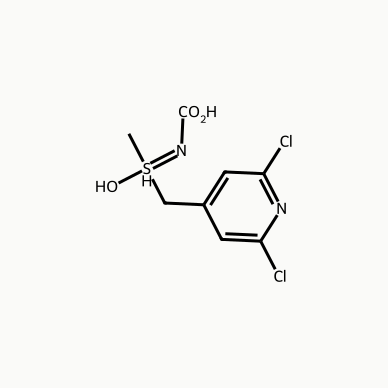 C[SH](O)(Cc1cc(Cl)nc(Cl)c1)=NC(=O)O